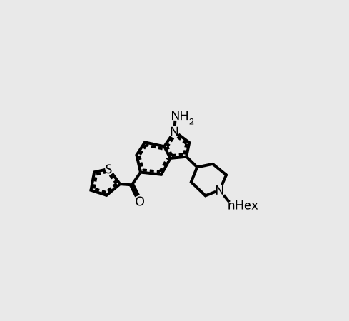 CCCCCCN1CCC(c2cn(N)c3ccc(C(=O)c4cccs4)cc23)CC1